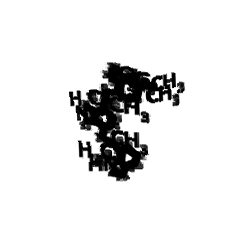 CC(C)(C)c1ccc(CC(C)(C)c2ccc(CC(C)(C)c3cccc4cc[nH]c34)c3c2CN=C3)c2ccoc12